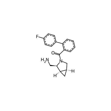 NC[C@@H]1[C@@H]2C[C@@H]2CN1C(=O)c1ccccc1-c1ccc(F)cc1